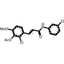 COc1ccc(/C=C/C(=O)Nc2cccc(Cl)c2)c(Cl)c1OC(C)=O